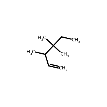 C=CC(C)C(C)(C)CC